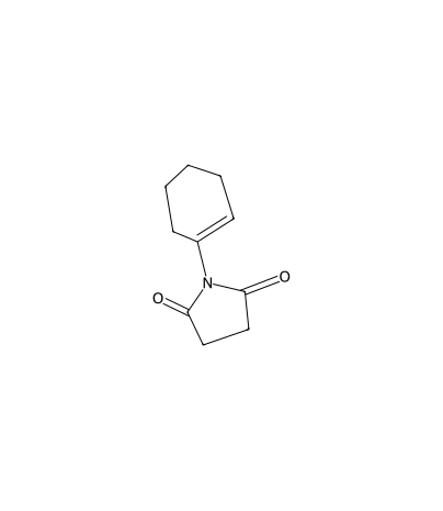 O=C1CCC(=O)N1C1=CCCCC1